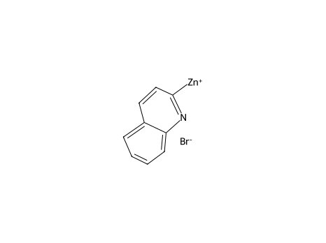 [Br-].[Zn+][c]1ccc2ccccc2n1